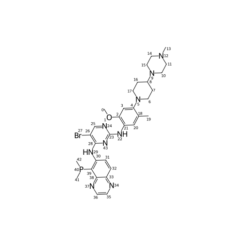 COc1cc(N2CCC(N3CCN(C)CC3)CC2)c(C)cc1Nc1ncc(Br)c(Nc2ccc3nccnc3c2P(C)C)n1